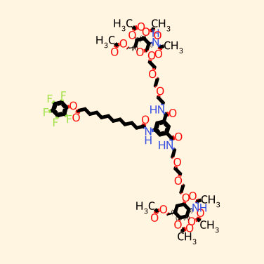 CC(=O)N[C@H]1C(OCCOCCOCCNC(=O)c2cc(NC(=O)CCCCCCCCCCC(=O)Oc3c(F)c(F)c(F)c(F)c3F)cc(C(=O)NCCOCCOCCOC3C[C@H](COC(C)=O)[C@H](OC(C)=O)[C@H](OC(C)=O)[C@H]3NC(C)=O)c2)O[C@H](COC(C)=O)[C@H](OC(C)=O)[C@@H]1OC(C)=O